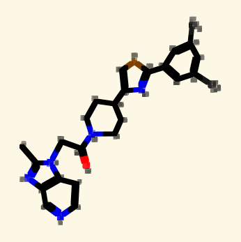 Cc1nc2cnccc2n1CC(=O)N1CCC(c2csc(-c3cc(C(F)(F)F)cc(C(F)(F)F)c3)n2)CC1